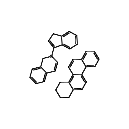 C1=CN(C2=CCc3ccccc32)Cc2ccccc21.c1ccc2c(c1)ccc1c3c(ccc12)CCCC3